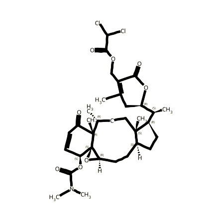 CC1=C(COC(=O)C(Cl)Cl)C(=O)O[C@@H]([C@@H](C)[C@H]2CC[C@H]3CC[C@H]4O[C@]45[C@@H](OC(=O)N(C)C)C=CC(=O)[C@]5(C)[C@H](C)CC[C@@]32C)C1